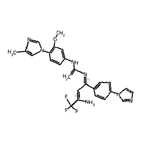 C=C(/N=C(\C=C(/N)C(F)(F)F)c1ccc(-n2ccnc2)cc1)Nc1ccc(-n2cnc(C)c2)c(OC)c1